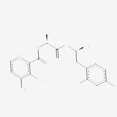 COc1ccnc(C(=O)N[C@@H](C)C(=O)O[C@@H](C)[C@H](c2ccc(F)cc2F)C(C)C)c1OC(C)=O